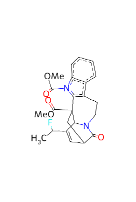 COC(=O)n1c2c(c3ccccc31)CCN1C(=O)C3C=C(C(C)F)C1C2(C(=O)OC)C3